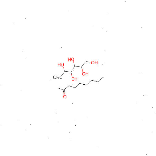 CCCCCCCC(C)=O.O=CC(O)C(O)C(O)C(O)CO